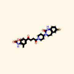 Cc1cc(C(=O)CCC(=O)N2CCC(N3CCc4cc(Br)ccc4NC3=O)CC2)cc2oc(=O)[nH]c12